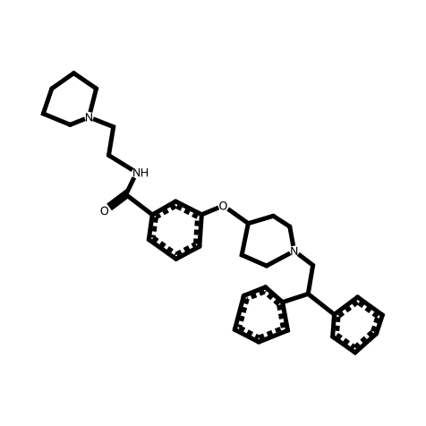 O=C(NCCN1CCCCC1)c1cccc(OC2CCN(CC(c3ccccc3)c3ccccc3)CC2)c1